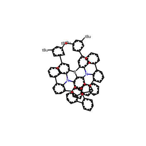 CC(C)(C)c1cc(-c2ccc3c(c2)B2c4cc(-c5cc(C(C)(C)C)cc(C(C)(C)C)c5)ccc4N(c4c(-c5ccccc5)cccc4-c4ccccc4)c4cc(C5(c6ccccc6)c6ccccc6-c6ccccc65)cc(c42)N3c2c(-c3ccccc3)cccc2-c2ccccc2)cc(C(C)(C)C)c1